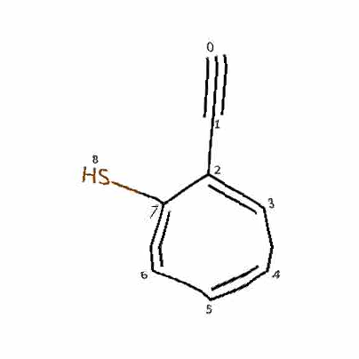 C#Cc1ccccc1S